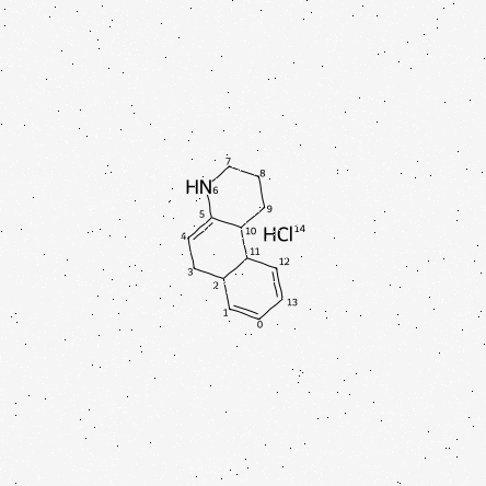 C1=CC2CC=C3NCCCC3C2C=C1.Cl